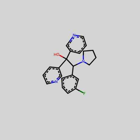 OC(c1cccnc1)(c1cccnc1)C(c1cccc(F)c1)N1CCCC1